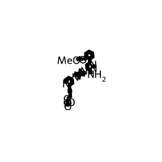 COCOc1ccccc1-c1cc(N2CC3(CN(c4ccnc(C#CCOS(C)(=O)=O)c4)C3)C2)c(N)nn1